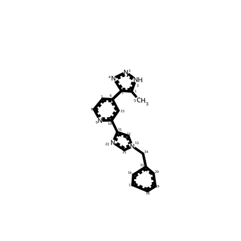 Cc1[nH]nnc1-c1ccnc(-c2cn(Cc3ccccc3)cn2)c1